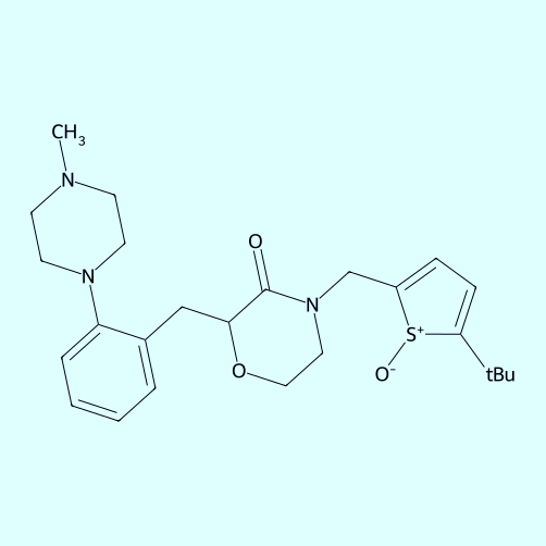 CN1CCN(c2ccccc2CC2OCCN(Cc3ccc(C(C)(C)C)[s+]3[O-])C2=O)CC1